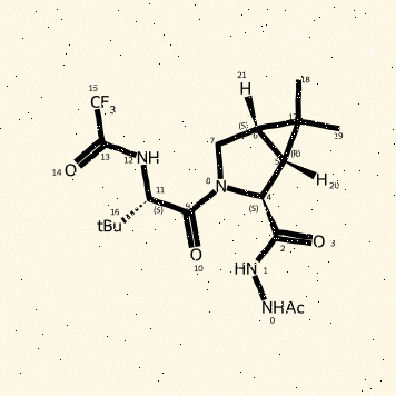 CC(=O)NNC(=O)[C@@H]1[C@@H]2[C@H](CN1C(=O)[C@@H](NC(=O)C(F)(F)F)C(C)(C)C)C2(C)C